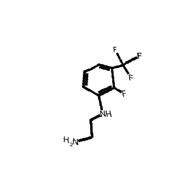 NCCNc1cccc(C(F)(F)F)c1F